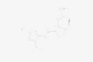 CNc1ccc2ccc(C(=O)Nc3cn(C(C)C)nc3C(F)F)n2n1